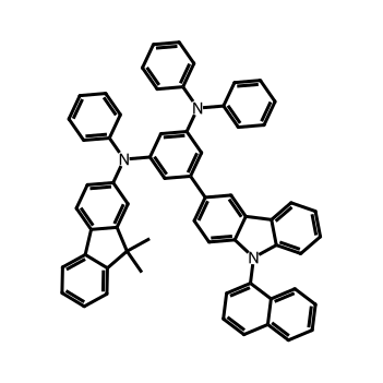 CC1(C)c2ccccc2-c2ccc(N(c3ccccc3)c3cc(-c4ccc5c(c4)c4ccccc4n5-c4cccc5ccccc45)cc(N(c4ccccc4)c4ccccc4)c3)cc21